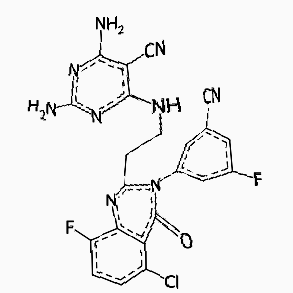 N#Cc1cc(F)cc(-n2c(CCNc3nc(N)nc(N)c3C#N)nc3c(F)ccc(Cl)c3c2=O)c1